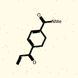 C=CC(=O)C1=CC=C(C(=O)NC)CC1